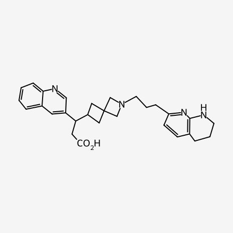 O=C(O)CC(c1cnc2ccccc2c1)C1CC2(C1)CN(CCCc1ccc3c(n1)NCCC3)C2